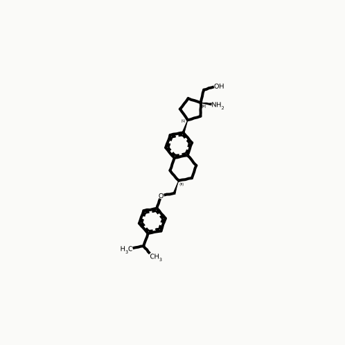 CC(C)c1ccc(OC[C@@H]2CCc3cc([C@H]4CC[C@](N)(CO)C4)ccc3C2)cc1